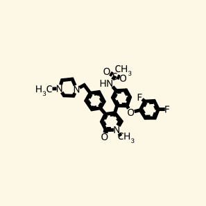 CN1CCN(Cc2ccc(-c3cc(=O)n(C)cc3-c3cc(NS(C)(=O)=O)ccc3Oc3ccc(F)cc3F)cc2)CC1